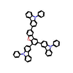 c1ccc(-n2c3ccccc3c3cc(-c4ccc5oc6c(-c7ccc8c(c7)c7ccccc7n8-c7ccccc7)cc(-c7ccc8c(c7)c7ccccc7n8-c7ccccc7)cc6c5c4)ccc32)cc1